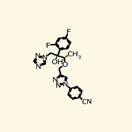 C[C@@H](OCc1cn(-c2ccc(C#N)cc2)nn1)[C@](O)(Cn1cncn1)c1ccc(F)cc1F